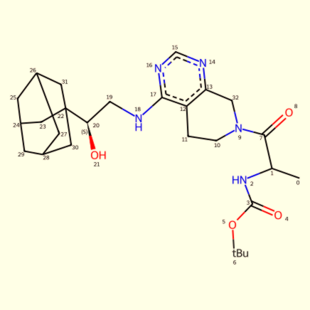 CC(NC(=O)OC(C)(C)C)C(=O)N1CCc2c(ncnc2NC[C@@H](O)C23CC4CC(CC(C4)C2)C3)C1